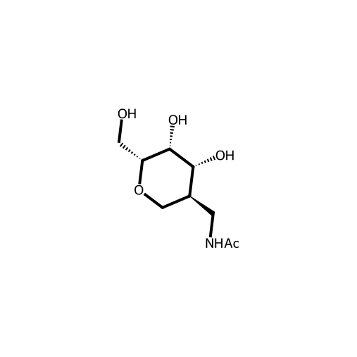 CC(=O)NC[C@H]1CO[C@H](CO)[C@H](O)[C@@H]1O